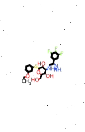 CCOc1cccc(S[C@H]2OC(CO)[C@H](O)C(N/C=C(\N=N)c3cc(F)c(F)c(F)c3)C2O)c1